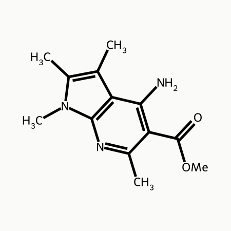 COC(=O)c1c(C)nc2c(c(C)c(C)n2C)c1N